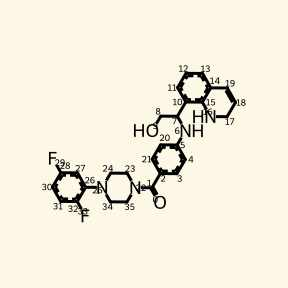 O=C(c1ccc(NC(CO)c2cccc3c2NCC=C3)cc1)N1CCN(c2cc(F)ccc2F)CC1